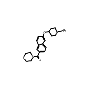 CC(C)N1CCC(Oc2ccc3cc(C(=O)N4CCSCC4)ccc3c2)CC1